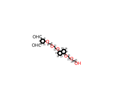 O=Cc1cc(C=O)cc(OCCOCCOc2cccc3c(OCCOCCO)cccc23)c1